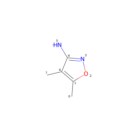 Cc1onc([NH])c1C